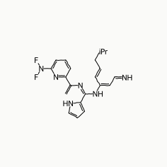 C=C(/N=C(/NC(/C=C/CC(C)C)=C/C=N)c1ccc[nH]1)c1cccc(N(F)F)n1